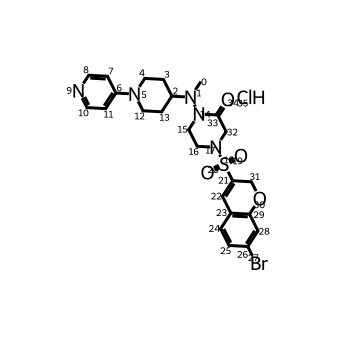 CN(C1CCN(c2ccncc2)CC1)N1CCN(S(=O)(=O)C2=Cc3ccc(Br)cc3OC2)CC1=O.Cl